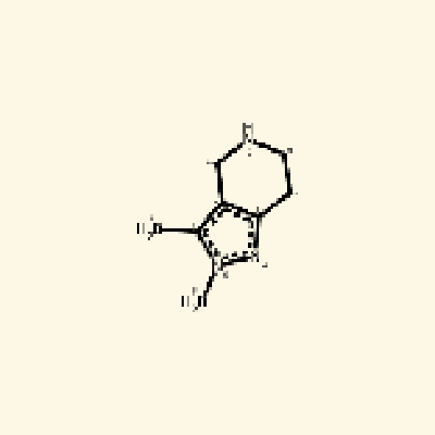 Bc1c2c(nn1B)CCNC2